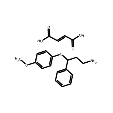 COc1ccc(OC(CCN)c2ccccc2)cc1.O=C(O)C=CC(=O)O